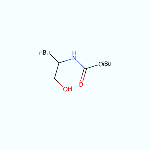 CCCCC(CO)NC(=O)OCC(C)C